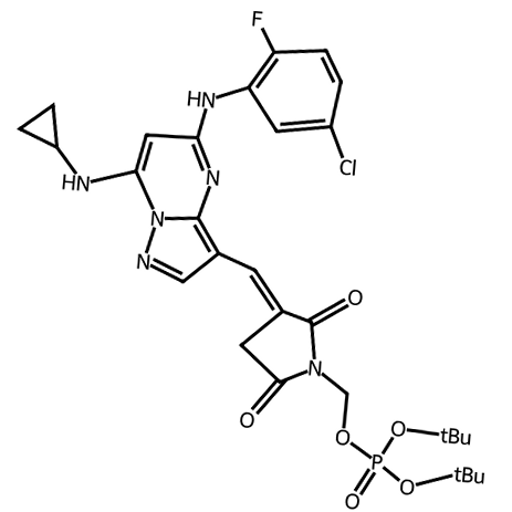 CC(C)(C)OP(=O)(OCN1C(=O)C/C(=C\c2cnn3c(NC4CC4)cc(Nc4cc(Cl)ccc4F)nc23)C1=O)OC(C)(C)C